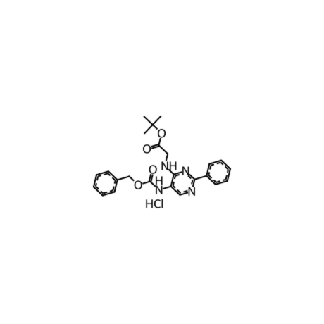 CC(C)(C)OC(=O)CNc1nc(-c2ccccc2)ncc1NC(=O)OCc1ccccc1.Cl